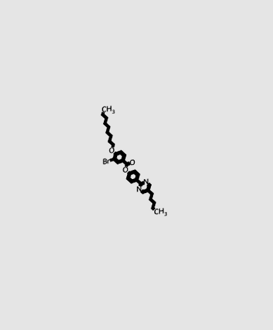 CCCCCCCCCOc1ccc(C(=O)Oc2ccc(-c3ncc(CCCCC)cn3)cc2)cc1Br